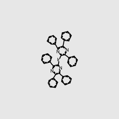 c1ccc(-c2nc(-c3ccccc3)c(-c3ccccc3)n[c]2[Ir][c]2nc(-c3ccccc3)c(-c3ccccc3)nc2-c2ccccc2)cc1